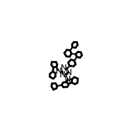 c1ccc(-c2ccc3c4ccccc4n(-c4nc(-c5ccc(-c6ccccc6-c6ccccc6-c6ccccc6)cc5)nc(-n5c6ccccc6c6ccccc65)n4)c3c2)cc1